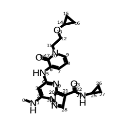 CNc1cc(Nc2cccn(CCOC3CC3)c2=O)nc2c(C(=O)NC3CC3)cnn12